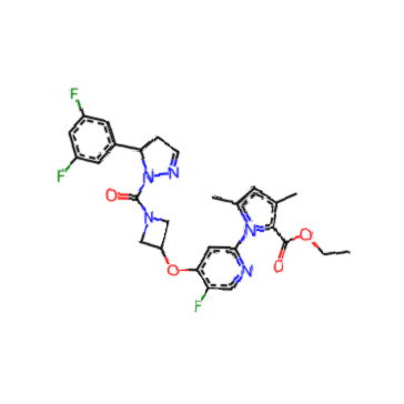 CCOC(=O)c1c(C)cc(C)n1-c1cc(OC2CN(C(=O)N3N=CCC3c3cc(F)cc(F)c3)C2)c(F)cn1